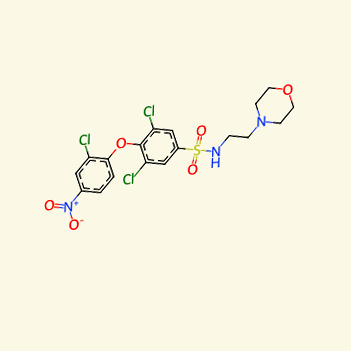 O=[N+]([O-])c1ccc(Oc2c(Cl)cc(S(=O)(=O)NCCN3CCOCC3)cc2Cl)c(Cl)c1